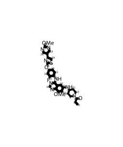 C=CC(=O)N1CCC(Nc2cc3c(Nc4ccc(Oc5nc(-c6cnc(OC)nc6)cs5)cc4F)ncnc3cc2OC)CC1